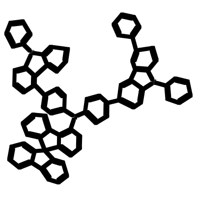 c1ccc(-c2ccc3c(c2)c2cc(-c4ccc(N(c5ccc(-c6cccc7c6c6ccccc6n7-c6ccccc6)cc5)c5cccc6c5-c5ccccc5C65c6ccccc6-c6ccccc65)cc4)ccc2n3-c2ccccc2)cc1